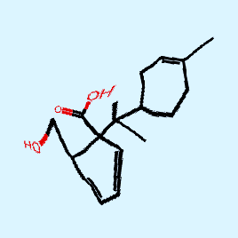 CC1=CCC(C(C)(C)C2(C(=O)O)C=CC=CC2CO)CC1